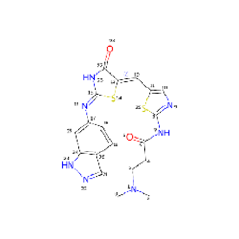 CN(C)CCC(=O)Nc1ncc(/C=C2\SC(=Nc3ccc4cn[nH]c4c3)NC2=O)s1